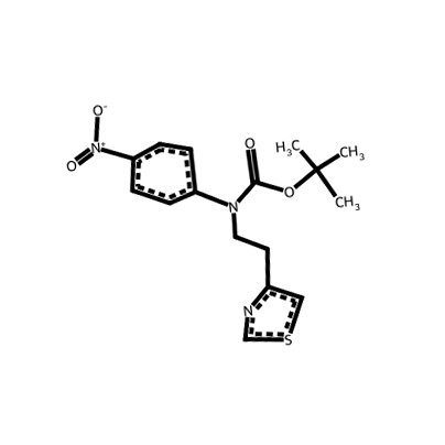 CC(C)(C)OC(=O)N(CCc1cscn1)c1ccc([N+](=O)[O-])cc1